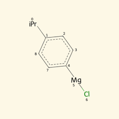 CC(C)c1cc[c]([Mg][Cl])cc1